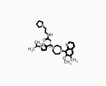 COc1c(C)cc2cccnc2c1N1CCCN([C@@H](CC(=O)NCCN2CCCC2)c2ccn(C(C)C)n2)CC1